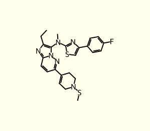 CCc1nc2ccc(C3=CCN(SC)CC3)nn2c1N(C)c1nc(-c2ccc(F)cc2)cs1